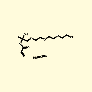 C=CC(=O)OC(C)(O)COCCOCCOCCO.N=C=O